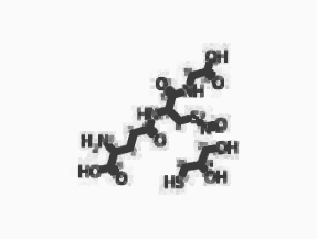 NC(CCC(=O)NC(CSN=O)C(=O)NCC(=O)O)C(=O)O.OCC(O)CS